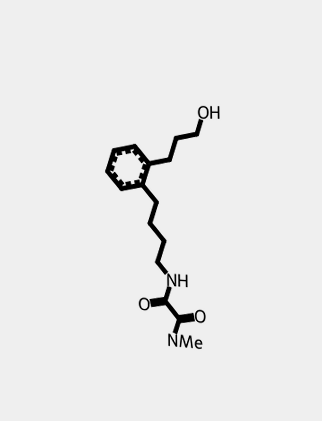 CNC(=O)C(=O)NCCCCc1ccccc1CCCO